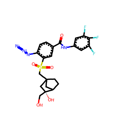 [N-]=[N+]=Nc1ccc(C(=O)Nc2cc(F)c(F)c(F)c2)cc1S(=O)(=O)CC12CCC(C1)[C@@](O)(CO)C2